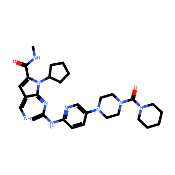 C=C(/N=C1\C(=C/N)C=C(C(=O)NC)N1C1CCCC1)Nc1ccc(N2CCN(C(=O)N3CCCCC3)CC2)cn1